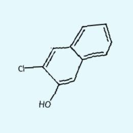 Oc1cc2ccccc2[c]c1Cl